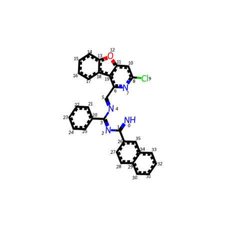 N=C(/N=C(\N=C\c1nc(Cl)cc2oc3ccccc3c12)c1ccccc1)c1ccc2ccccc2c1